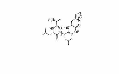 CC(C)C[C@H](NC(=O)[C@H](C)N)C(=O)N[C@@H](CC(C)C)C(=O)N[C@@H](Cc1cnc[nH]1)C(=O)O